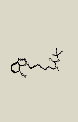 CN(CCCCCn1cnc2cccc(Br)c21)C(=O)OC(C)(C)C